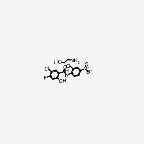 NCCO.O=C(Nc1ccc([N+](=O)[O-])cc1Cl)c1cc(Cl)c(F)cc1O